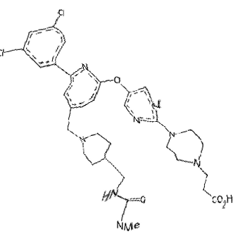 CNC(=O)NCC1CCN(Cc2cc(Oc3cnc(N4CCN(CCC(=O)O)CC4)nc3)nc(-c3cc(Cl)cc(Cl)c3)c2)CC1